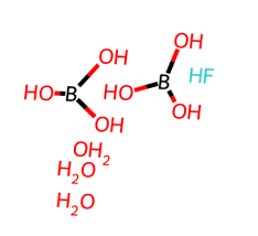 F.O.O.O.OB(O)O.OB(O)O